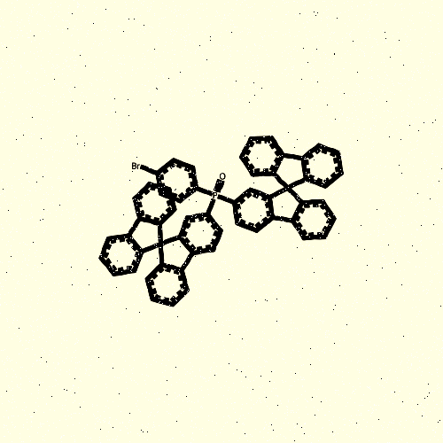 O=P(c1ccc(Br)cc1)(c1ccc2c(c1)C1(c3ccccc3-c3ccccc31)c1ccccc1-2)c1ccc2c(c1)C1(c3ccccc3-c3ccccc31)c1ccccc1-2